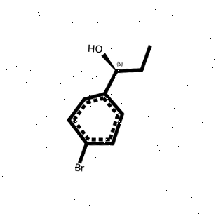 CC[C@H](O)c1ccc(Br)cc1